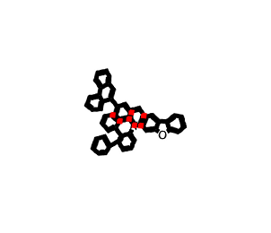 c1ccc(-c2ccccc2-c2c(-c3ccccc3)cccc2N(c2ccc(-c3cc4ccccc4c4ccccc34)cc2)c2ccc3c(c2)oc2ccccc23)cc1